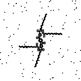 CCCCCCCCCCCCNC(=O)[C@@H]1CN(C(=O)c2ccc(C(=O)N3C[C@@H](C(=O)NCCCCCCCCCCCC)[C@H](C(=O)NCCCCCCCCCCCC)C3)cc2)C[C@H]1C(=O)NCCCCCCCCCCCC